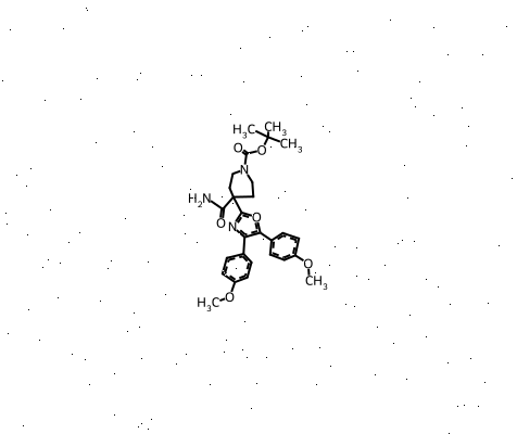 COc1ccc(-c2nc(C3(C(N)=O)CCN(C(=O)OC(C)(C)C)CC3)oc2-c2ccc(OC)cc2)cc1